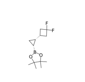 CC1(C)OB([C@@H]2C[C@@H]2C2CC(F)(F)C2)OC1(C)C